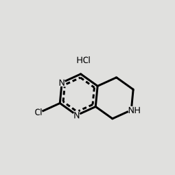 Cl.Clc1ncc2c(n1)CNCC2